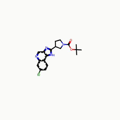 CC(C)(C)OC(=O)N1CCC(c2nc3cnc4cc(Br)ccc4c3[nH]2)C1